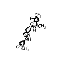 C[C@@H](NC(=O)N1CCc2cnc(Nc3ccc(=O)n(C)c3)nc2C1)c1ccc(C(F)(F)F)c(F)c1